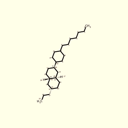 CCCCCCCC1CCC([C@@H]2CC[C@H]3C[C@@H](CCC)CC[C@@H]3C2)CC1